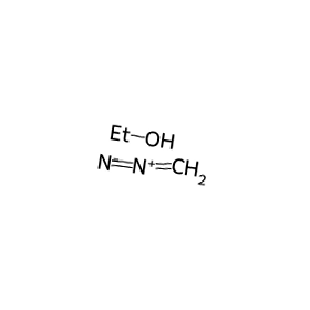 C=[N+]=[N-].CCO